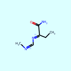 CC/C(=N\C=N/C)C(N)=O